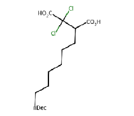 CCCCCCCCCCCCCCCCC(C(=O)O)C(Cl)(Cl)C(=O)O